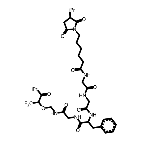 CC(C)C(=O)C(OCNC(=O)CNC(=O)C(Cc1ccccc1)NC(=O)CNC(=O)CNC(=O)CCCCCN1C(=O)CC(C(C)C)C1=O)C(F)(F)F